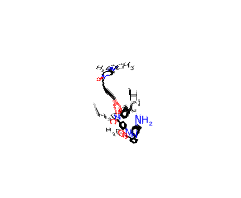 COc1cc(C(=O)N(C)c2ccc(C)cc2OCCCCCC(=O)N2CCC(N(C)C)CC2)ccc1NC(=O)c1ccccc1-c1ccc(N)cc1